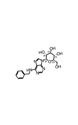 OC[C@H]1O[C@@H](n2cnc3c(NCc4ccccc4)ncnc32)[C@H](O)[C@@H](O)[C@@H]1O